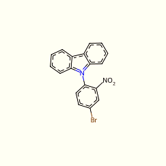 O=[N+]([O-])c1cc(Br)ccc1-n1c2ccccc2c2ccccc21